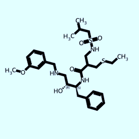 CCSCC(CNS(=O)(=O)CC(C)C)C(=O)N[C@@H](Cc1ccccc1)[C@H](O)CNCc1cccc(OC)c1